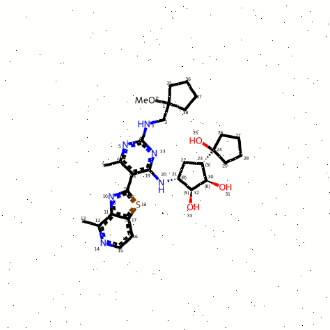 COC1(CNc2nc(C)c(-c3nc4c(C)nccc4s3)c(N[C@@H]3C[C@H](C4(O)CCCC4)[C@@H](O)[C@H]3O)n2)CCCC1